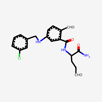 NC(=O)C(CCC=O)NC(=O)c1cc(NCc2cccc(Cl)c2)ccc1C=O